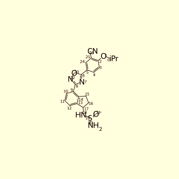 CC(C)Oc1ccc(-c2nc(-c3cccc4c3CCC4N[S+](N)[O-])no2)cc1C#N